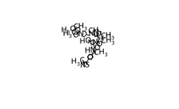 Cc1ncsc1-c1ccc([C@H](C)NC(=O)[C@@H]2C[C@@H](O)CN2C(=O)[C@H](c2cc(N(C)CC3CCN(C(=O)OC(C)(C)C)CC3)no2)C(C)C)cc1